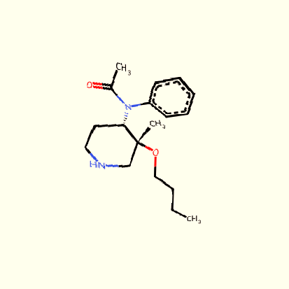 CCCCO[C@]1(C)CNCC[C@@H]1N(C(C)=O)c1ccccc1